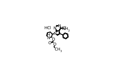 CCOC(=O)OC1NCCCC1n1cc(-c2ccccc2)c2c(N)ncnc21.Cl.Cl